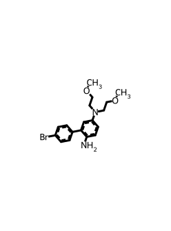 COCCN(CCOC)c1ccc(N)c(-c2ccc(Br)cc2)c1